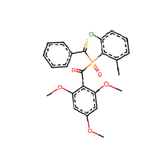 COc1cc(OC)c(C(=O)P(=O)(C(=S)c2ccccc2)c2c(C)cccc2Cl)c(OC)c1